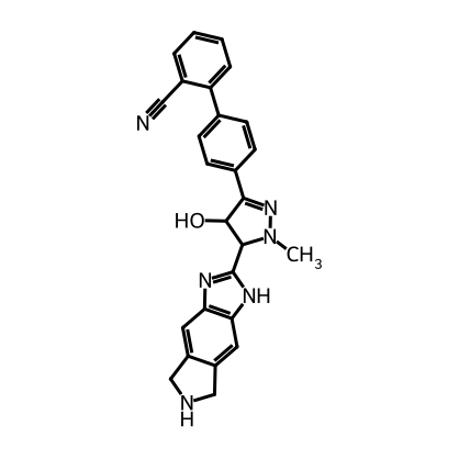 CN1N=C(c2ccc(-c3ccccc3C#N)cc2)C(O)C1c1nc2cc3c(cc2[nH]1)CNC3